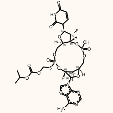 CC(C)OC(=O)OCSP1(=O)OC[C@H]2O[C@@H](C3C=CC(=O)NC3=O)[C@H](F)[C@@H]2OP(=O)(O)OC[C@H]2O[C@@H](n3cnc4c(N)ncnc43)[C@H](O1)[C@@H]2F